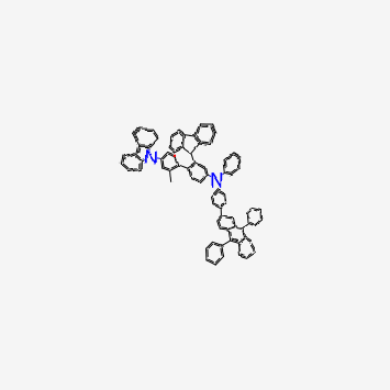 Cc1cc(-n2c3ccccc3c3ccccc32)ccc1-c1ccc(N(c2ccccc2)c2ccc(-c3ccc4c(-c5ccccc5)c5ccccc5c(-c5ccccc5)c4c3)cc2)cc1C1c2ccccc2-c2ccccc21